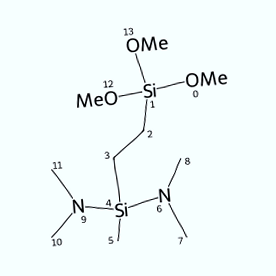 CO[Si](CC[Si](C)(N(C)C)N(C)C)(OC)OC